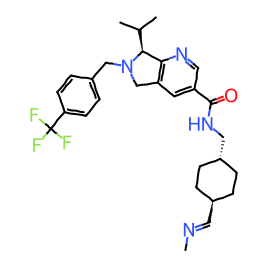 CN=C[C@H]1CC[C@H](CNC(=O)c2cnc3c(c2)CN(Cc2ccc(C(F)(F)F)cc2)[C@H]3C(C)C)CC1